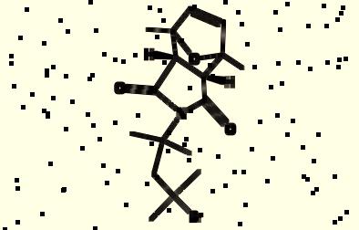 CC(C)(Br)CC(C)(C)N1C(=O)[C@@H]2[C@H](C1=O)C1(C)C=CC2(C)O1